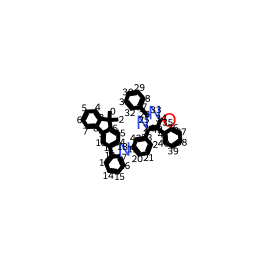 CC1(C)c2ccccc2-c2cc3c4ccccc4n(-c4cccc(-c5nc(-c6ccccc6)nc6oc7ccccc7c56)c4)c3cc21